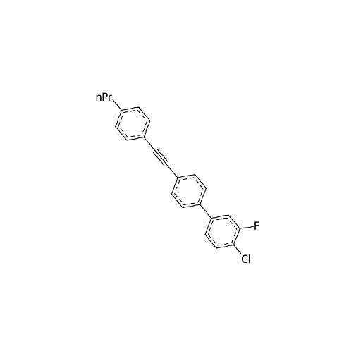 CCCc1ccc(C#Cc2ccc(-c3ccc(Cl)c(F)c3)cc2)cc1